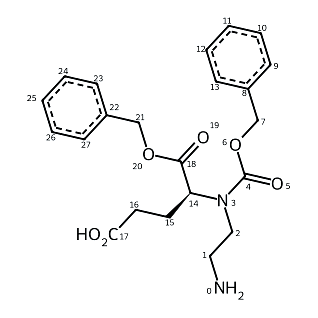 NCCN(C(=O)OCc1ccccc1)[C@@H](CCC(=O)O)C(=O)OCc1ccccc1